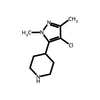 Cc1nn(C)c(C2CCNCC2)c1Cl